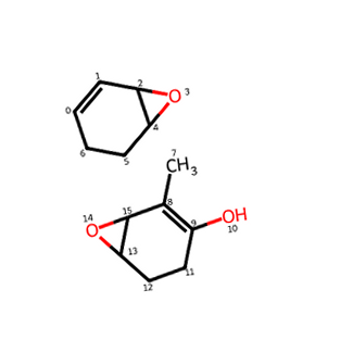 C1=CC2OC2CC1.CC1=C(O)CCC2OC12